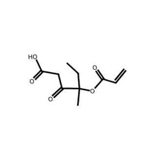 C=CC(=O)OC(C)(CC)C(=O)CC(=O)O